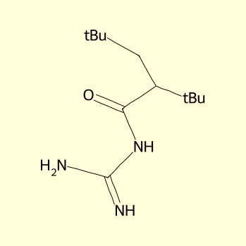 CC(C)(C)CC(C(=O)NC(=N)N)C(C)(C)C